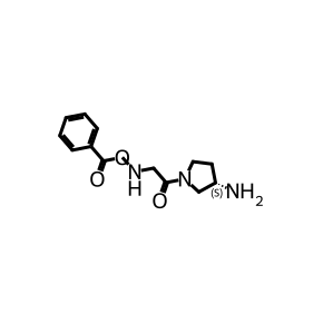 N[C@H]1CCN(C(=O)CNOC(=O)c2ccccc2)C1